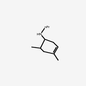 CCCNC1CC=C(C)CC1C